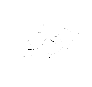 C[C@@H]1C[C@H]2CC(=O)CC[C@@H]2[C@@H]2[C@@H]1[C@@H]1CC[C@H](O)[C@@]1(C)C[C@@H]2C